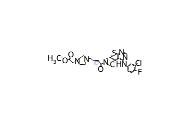 CCOC(=O)CN1CCN(C/C=C/C(=O)N2CCc3c(sc4ncnc(Nc5ccc(F)c(Cl)c5)c34)C2)CC1